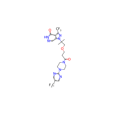 CC(C)(COCCC(=O)N1CCN(c2ncc(C(F)(F)F)cn2)CC1)n1nc(C(F)(F)F)c2c(=O)[nH]ncc21